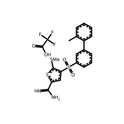 CSc1sc(C(=N)N)cc1S(=O)(=O)c1cccc(-c2ccccc2C)c1.O=C(O)C(F)(F)F